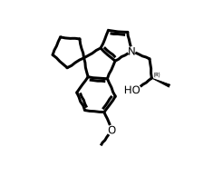 COc1ccc2c(c1)-c1c(ccn1C[C@@H](C)O)C21CCCC1